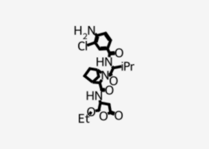 CCOC1OC(=O)CC1NC(=O)C1C2CCC(C2)N1C(=O)C(NC(=O)c1ccc(N)c(Cl)c1)C(C)C